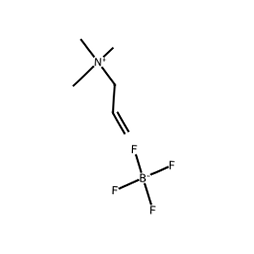 C=CC[N+](C)(C)C.F[B-](F)(F)F